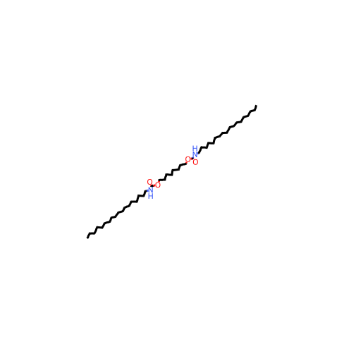 CCCCCCCCCCCCCCCCCCNC(=O)OCCCCCCCCOC(=O)NCCCCCCCCCCCCCCCCCC